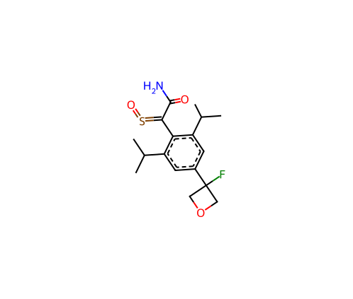 CC(C)c1cc(C2(F)COC2)cc(C(C)C)c1C(=S=O)C(N)=O